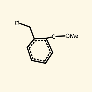 COCc1ccccc1CCl